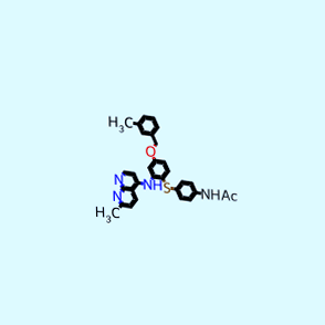 CC(=O)Nc1ccc(Sc2ccc(OCc3cccc(C)c3)cc2Nc2ccnc3nc(C)ccc23)cc1